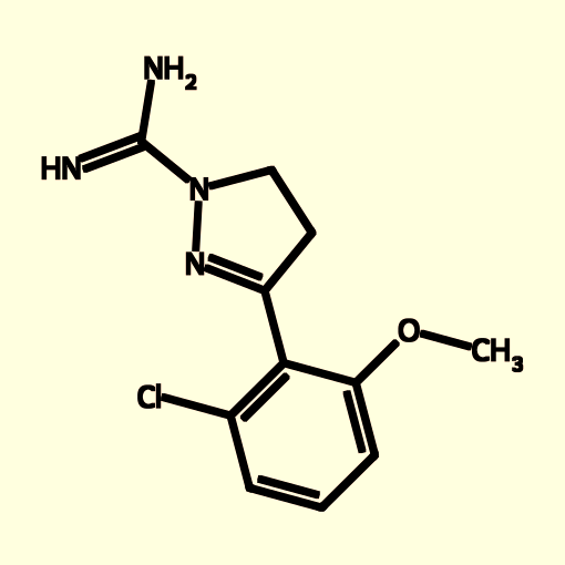 COc1cccc(Cl)c1C1=NN(C(=N)N)CC1